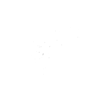 C[C@]12OC(=O)C=C1CC(SCc1ccccc1O)CN1CCCC[C@@H]12